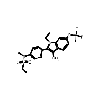 CCn1c(-c2ccc(N(C)S(=O)(=O)CC)cc2)c(N)c2ccc(OC(F)(F)F)cc21